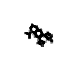 CC(C)N1CCCc2cc(-c3cnn(C)c3)c(C3COC3)cc21